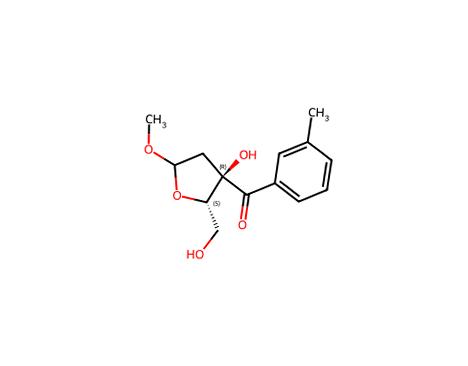 COC1C[C@](O)(C(=O)c2cccc(C)c2)[C@H](CO)O1